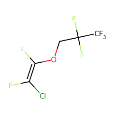 FC(Cl)=C(F)OCC(F)(F)C(F)(F)F